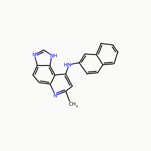 Cc1cc(Nc2ccc3ccccc3c2)c2c(ccc3nc[nH]c32)n1